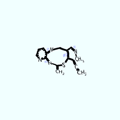 C=C=C/C1=C(\C=N/C)C/N=c2/cccn/c2=N/C(=C)S1